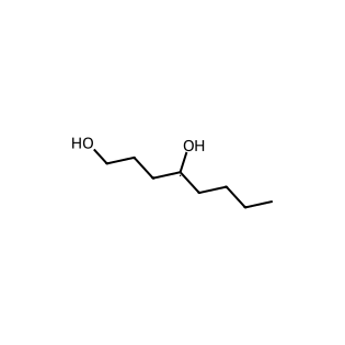 CCCC[C](O)CCCO